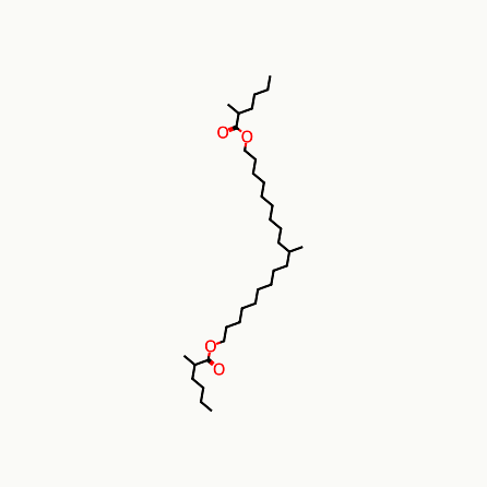 CCCCC(C)C(=O)OCCCCCCCCCC(C)CCCCCCCCCOC(=O)C(C)CCCC